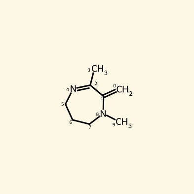 C=C1C(C)=NCCCN1C